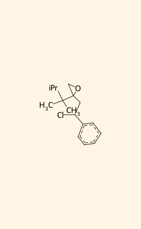 CC(C)C(C)(C)C1(CC(Cl)c2ccccc2)CO1